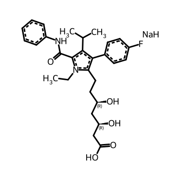 CCn1c(CC[C@@H](O)C[C@@H](O)CC(=O)O)c(-c2ccc(F)cc2)c(C(C)C)c1C(=O)Nc1ccccc1.[NaH]